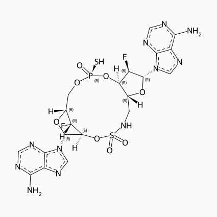 Nc1ncnc2c1ncn2[C@@H]1O[C@@H]2CNS(=O)(=O)O[C@@H]3[C@H](F)[C@@H](CO[P@@](=O)(S)O[C@H]2[C@H]1F)O[C@H]3n1cnc2c(N)ncnc21